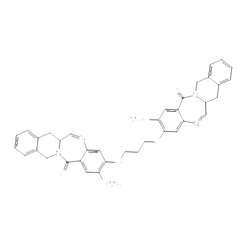 COc1cc2c(cc1OCCCOc1cc3c(cc1OC)C(=O)N1Cc4ccccc4CC1C=N3)N=CC1Cc3ccccc3CN1C2=O